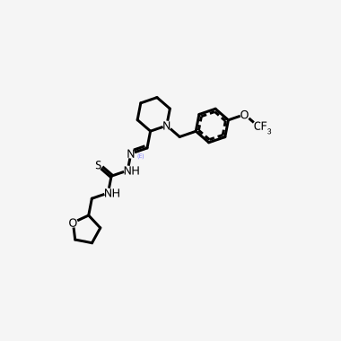 FC(F)(F)Oc1ccc(CN2CCCCC2/C=N/NC(=S)NCC2CCCO2)cc1